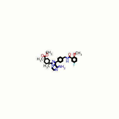 COc1ccc(F)cc1C(=O)NCc1ccc(-c2nc([C@]3(C)CC[C@](C)(C(=O)OC)CC3)n3ccnc(N)c23)cc1